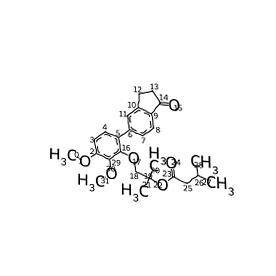 COc1ccc(-c2ccc3c(c2)CCC3=O)c(OCC(C)(C)OC(=O)CC(C)C)c1OC